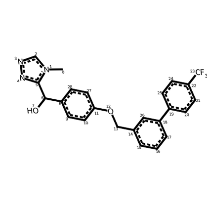 Cn1cnnc1C(O)c1ccc(OCc2cccc(-c3ccc(C(F)(F)F)cc3)c2)cc1